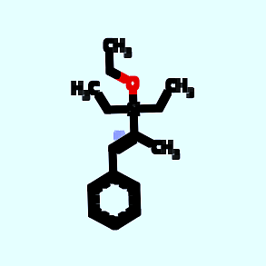 CCO[Si](CC)(CC)/C(C)=C/c1ccccc1